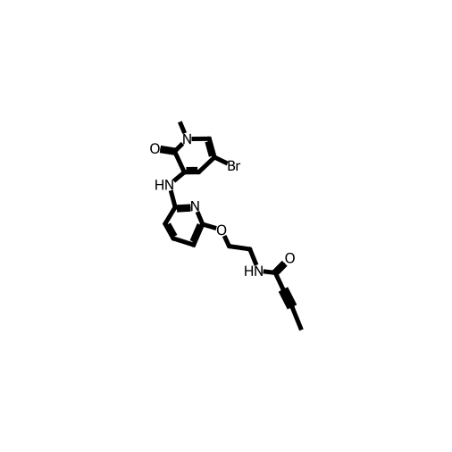 CC#CC(=O)NCCOc1cccc(Nc2cc(Br)cn(C)c2=O)n1